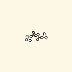 c1ccc(-c2ccc(N(c3ccccc3)c3ccccc3-c3ccc4c5ccccc5n(-c5ccc6c(c5)-c5ccccc5C6(c5ccccc5)c5ccccc5)c4c3)cc2-c2ccccc2)cc1